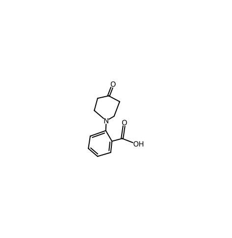 O=C1CCN(c2ccccc2C(=O)O)CC1